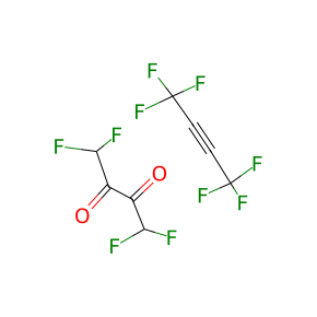 FC(F)(F)C#CC(F)(F)F.O=C(C(=O)C(F)F)C(F)F